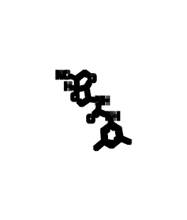 Cc1cc(C)cc(NC(=O)NC2CO[C@H]3C2OC[C@@H]3C#N)c1